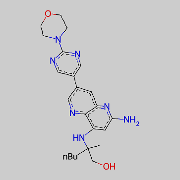 CCCCC(C)(CO)Nc1cc(N)nc2cc(-c3cnc(N4CCOCC4)nc3)cnc12